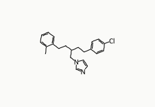 Cc1ccccc1CCC(CCc1ccc(Cl)cc1)Cn1ccnc1